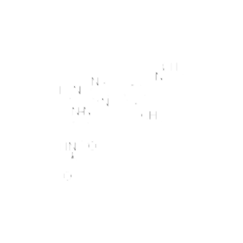 Cc1cc(-c2cnc(N)c(-n3cc(C(=O)N[C@H]4CCOC4)cn3)n2)cc2c1CCN(C)C2